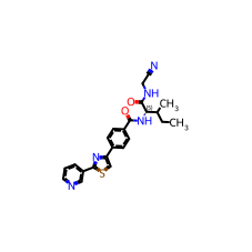 CCC(C)[C@H](NC(=O)c1ccc(-c2csc(-c3cccnc3)n2)cc1)C(=O)NCC#N